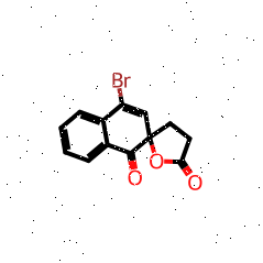 O=C1CCC2(C=C(Br)c3ccccc3C2=O)O1